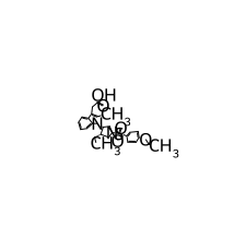 CCOc1ccc(S(=O)(=O)N2C[C@@H](CC)[C@@H](n3c(C)c(CC(=O)O)c4ccccc43)C2)cc1